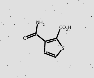 NC(=O)c1ccsc1C(=O)O